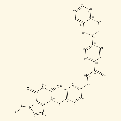 CCn1cnc2c1c(=O)[nH]c(=O)n2Cc1ccc(CNC(=O)c2ccc(N3CCc4ccccc4C3)cc2)cc1